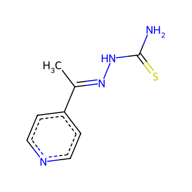 C/C(=N\NC(N)=S)c1ccncc1